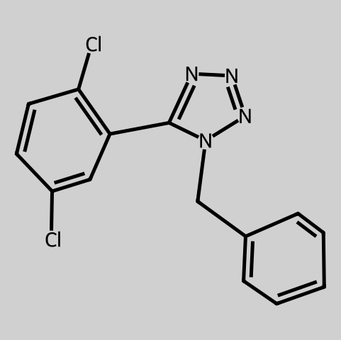 Clc1ccc(Cl)c(-c2nnnn2Cc2ccccc2)c1